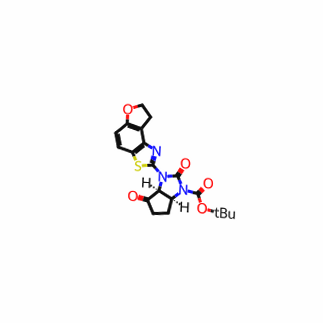 CC(C)(C)OC(=O)N1C(=O)N(c2nc3c4c(ccc3s2)OCC4)[C@@H]2C(=O)CC[C@@H]21